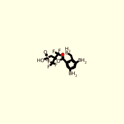 BCc1c(B)cc(B)cc1C(=O)OC(CS(=O)(=O)O)(C(F)(F)F)C(F)(F)F